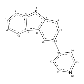 [c]1ccc2sc3ccc(-c4ccncc4)cc3c2c1